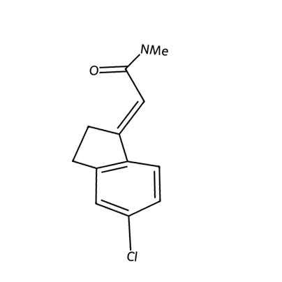 CNC(=O)C=C1CCc2cc(Cl)ccc21